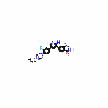 CN1CCN(c2ccc(-c3cc(-c4ccc5c(c4)CCNC5=O)c(N)nc3F)cc2F)CC1